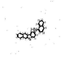 c1ccc2cc3c(cc2c1)sc1ccc(Nc2cccc4ccccc24)cc13